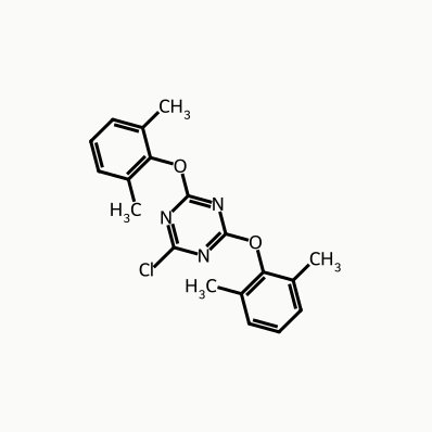 Cc1cccc(C)c1Oc1nc(Cl)nc(Oc2c(C)cccc2C)n1